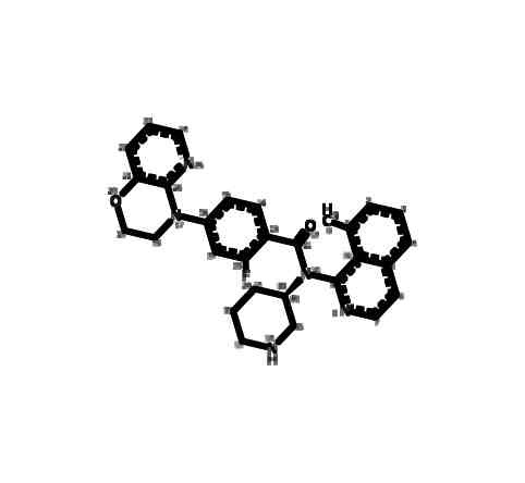 Cc1cccc2ccnc(N(C(=O)c3ccc(N4CCOc5cccnc54)cc3F)[C@@H]3CCCNC3)c12